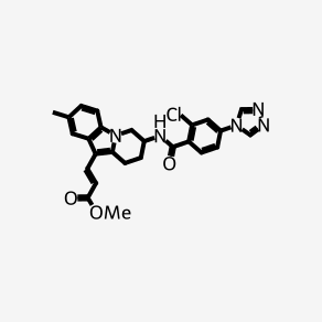 COC(=O)/C=C/c1c2n(c3ccc(C)cc13)CC(NC(=O)c1ccc(-n3cnnc3)cc1Cl)CC2